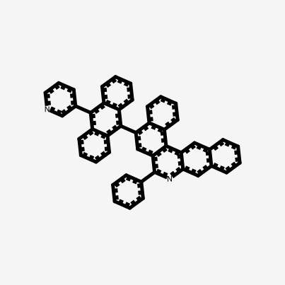 c1ccc(-c2nc3cc4ccccc4cc3c3c2cc(-c2c4ccccc4c(-c4cccnc4)c4ccccc24)c2ccccc23)cc1